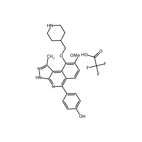 COc1ccc2c(-c3ccc(O)cc3)nc3[nH]nc(C)c3c2c1OCC1CCNCC1.O=C(O)C(F)(F)F